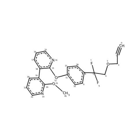 C#CCOCC(F)(F)c1ccc(Oc2ncccc2-c2cccnc2OC)cc1